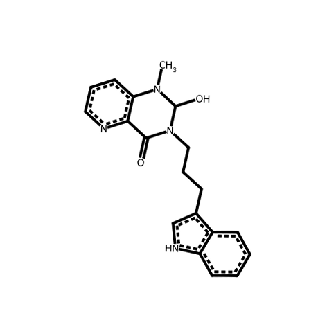 CN1c2cccnc2C(=O)N(CCCc2c[nH]c3ccccc23)C1O